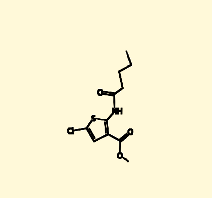 CCCCC(=O)Nc1sc(Cl)cc1C(=O)OC